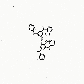 CC(c1ccccc1)c1cc(SSc2cc(C(C)c3ccccc3)cc(C(C)c3ccccc3)c2O)c(O)c(C(C)c2ccccc2)c1